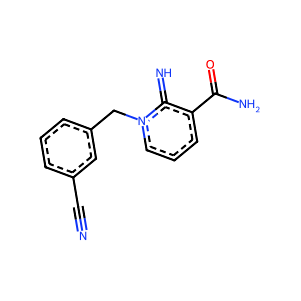 N#Cc1cccc(Cn2cccc(C(N)=O)c2=N)c1